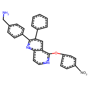 NCc1ccc(-c2nc3ccnc(Oc4ccc([N+](=O)[O-])cc4)c3cc2-c2ccccc2)cc1